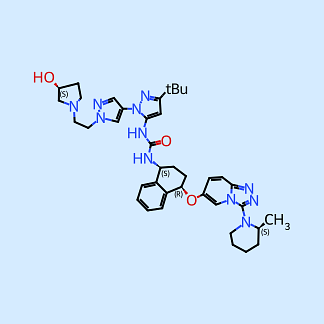 C[C@H]1CCCCN1c1nnc2ccc(O[C@@H]3CC[C@H](NC(=O)Nc4cc(C(C)(C)C)nn4-c4cnn(CCN5CC[C@H](O)C5)c4)c4ccccc43)cn12